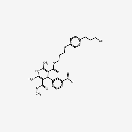 COC(=O)C1=C(C)NC(C)=C(C(=O)OCCCOc2ccc(CCCO)cc2)C1c1cccc([N+](=O)[O-])c1